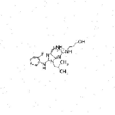 C=C(/N=C1\C(=C/N)N=C(Nc2ccccc2F)N1CC(C)C)NCCCO